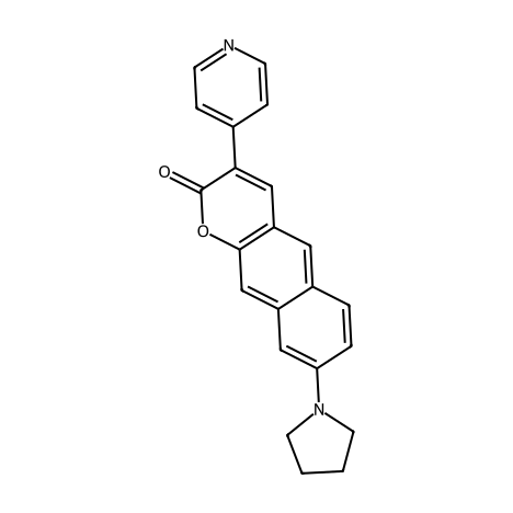 O=c1oc2cc3cc(N4CCCC4)ccc3cc2cc1-c1ccncc1